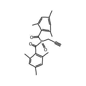 C#CCP(=O)(C(=O)c1c(C)cc(C)cc1C)C(=O)c1c(C)cc(C)cc1C